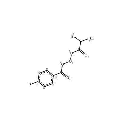 CCCCC(CC)C(=O)OOOC(=O)c1ccc(C)cc1